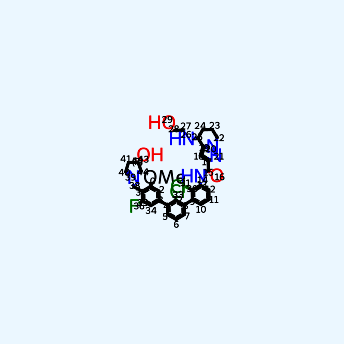 COc1cc(-c2cccc(-c3cccc(NC(=O)c4cc5n(n4)CCCC5NCCO)c3Cl)c2Cl)cc(F)c1CN1CC[C@@H](O)C1